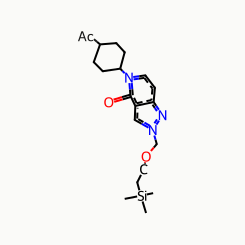 CC(=O)C1CCC(n2ccc3nn(COCC[Si](C)(C)C)cc3c2=O)CC1